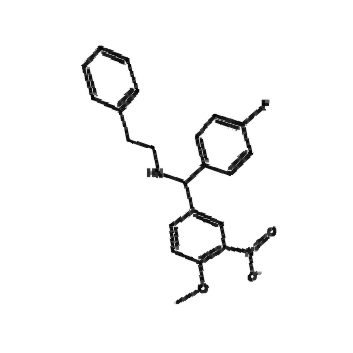 COc1ccc(C(NCCc2ccccc2)c2ccc(F)cc2)cc1[N+](=O)[O-]